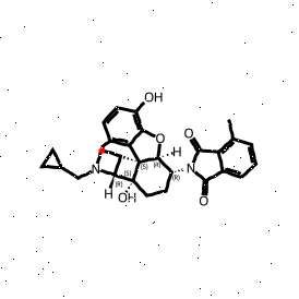 Cc1cccc2c1C(=O)N([C@@H]1CC[C@@]3(O)[C@H]4C(CN4CC4CC4)[C@@]34c3c(C)ccc(O)c3O[C@@H]14)C2=O